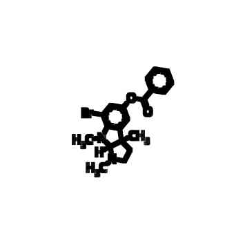 CN1CC[C@@]2(C)c3cc(OC(=O)c4ccccc4)cc(Br)c3N(C)[C@@H]12